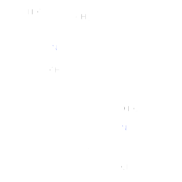 Cc1cc(C)cc(N(c2ccc3c4c(ccc3c2)-c2ccc3cc(N(c5cc(C)cc(C)c5)c5ccccc5C)ccc3c2C42c3ccccc3-c3c2ccc2ccccc32)c2ccccc2C)c1